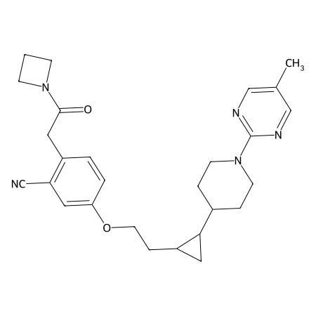 Cc1cnc(N2CCC(C3CC3CCOc3ccc(CC(=O)N4CCC4)c(C#N)c3)CC2)nc1